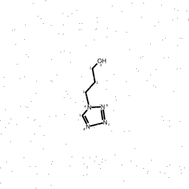 OCCCn1[c]nnn1